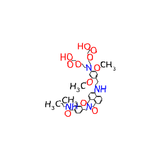 CCOc1cc(N(CCOCC(=O)O)CCOCC(=O)O)c(OCC)cc1CCNc1ccc2c3c(cccc13)C(=O)N(Cc1ccc(C(=O)NCC(C)C)cc1)C2=O